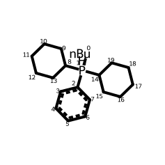 CCCC[PH](c1ccccc1)(C1CCCCC1)C1CCCCC1